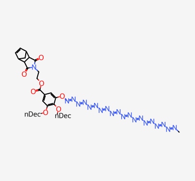 CCCCCCCCCCOc1cc(C(=O)OCCN2C(=O)C3C4C=CC(C4)C3C2=O)cc(ON=NN=NN=NN=NN=NN=NN=NN=NN=NN=NC)c1OCCCCCCCCCC